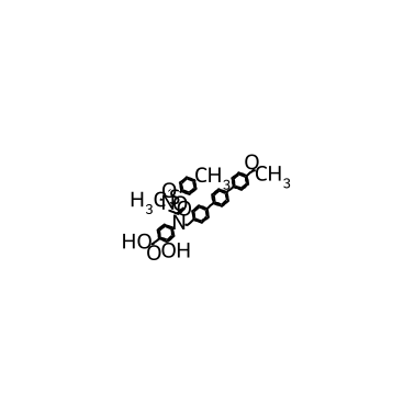 CC(=O)c1ccc(-c2ccc(-c3ccc(CN(C(=O)CN(C)S(=O)(=O)c4ccc(C)cc4)c4ccc(C(=O)O)c(O)c4)cc3)cc2)cc1